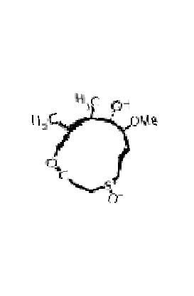 CO[C@H]1/C=C/C[S+]([O-])CCCOC/C(C)=C\[C@@H](C)[C@@H]1O